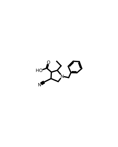 CCC1C(C(=O)O)C(C#N)CN1Cc1ccccc1